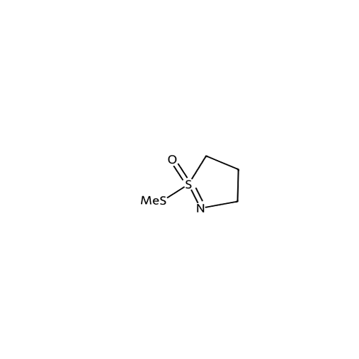 CSS1(=O)=NCCC1